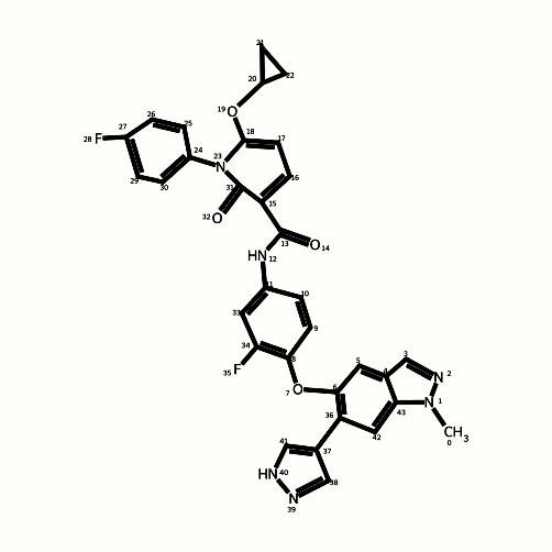 Cn1ncc2cc(Oc3ccc(NC(=O)c4ccc(OC5CC5)n(-c5ccc(F)cc5)c4=O)cc3F)c(-c3cn[nH]c3)cc21